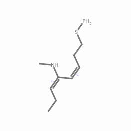 CC/C=C(\C=C/CCSP)NC